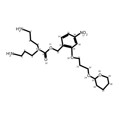 NCCCN(CCCN)C(=O)OCc1ccc([N+](=O)[O-])cc1OCCCOC1CCCCO1